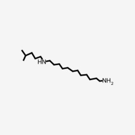 CC(C)CCCNCCCCCCCCCCCCN